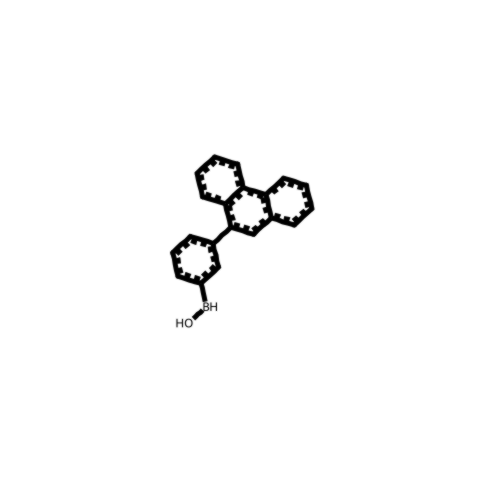 OBc1cccc(-c2cc3ccccc3c3ccccc23)c1